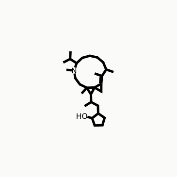 C/C1=C2/CC23C(C(C)CC2CCCC2O)C3(C)CCN(C)C(C(C)C)CCCCC1C